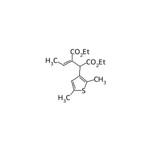 CC=C(C(=O)OCC)C(C(=O)OCC)c1cc(C)sc1C